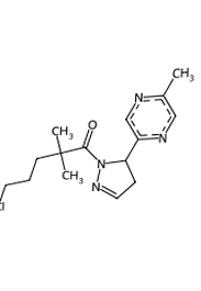 Cc1cnc(C2CC=NN2C(=O)C(C)(C)CCCCl)cn1